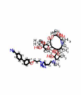 CC[C@H]1OC(=O)[C@H](C)[C@@H](C2C[C@@](C)(OC)[C@@H](O)[C@H](C)O2)[C@H](C)[C@@H](O[C@@H]2OC(C)C[C@H](N(C)CCc3cn(CCCOc4ccc(-c5ccc(C#N)cc5)cc4)nn3)[C@H]2O)[C@](C)(O)C[C@@H](C)CN(C)[C@H](C)[C@@H](O)[C@]1(C)O